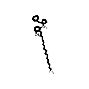 CCCCCCCCCCCCCCCCCCc1c(C)cccc1[SiH2]C1=C(Cc2ccccc2)C=CC1